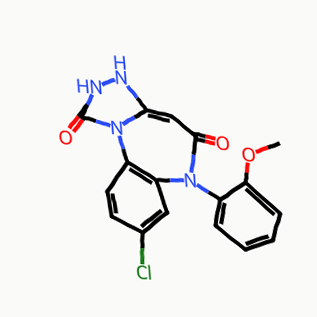 COc1ccccc1N1C(=O)C=C2NNC(=O)N2c2ccc(Cl)cc21